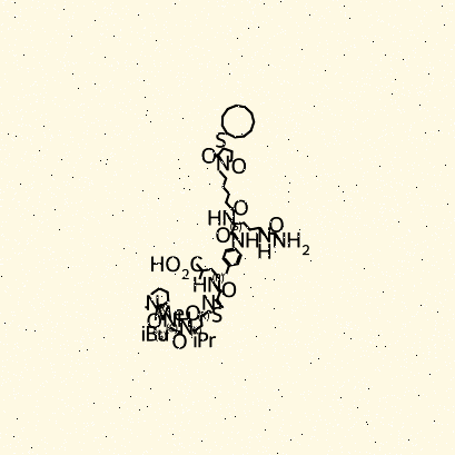 CC[C@H](C)[C@H](NC(=O)[C@H]1CCCCN1C)C(=O)N(C)[C@H](C[C@@H](OC)c1nc(C(=O)N[C@@H](Cc2ccc(NC(=O)[C@H](CCCNC(N)=O)NC(=O)CCCCCN3C(=O)CC(SC4CCCCCCCCCC4)C3=O)cc2)CC(C)C(=O)O)cs1)C(C)C